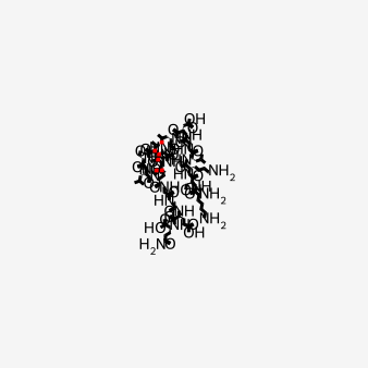 CC(C)C[C@H](NC(=O)[C@H](CCCCN)NC(=O)[C@H](CO)NC(=O)[C@@H](N)CCCCN)C(=O)NCC(=O)N[C@@H](CC(=O)O)C(=O)N[C@@H](CC(C)C)C(=O)N[C@H](C(=O)N[C@H](C(=O)N[C@H](C(=O)N[C@@H](CO)C(=O)N[C@@H](CC(C)C)C(=O)N1CCC[C@H]1C(=O)NCC(=O)NCC(=O)N[C@@H](CCC(=O)O)C(=O)N[C@@H](CCC(N)=O)C(=O)O)C(C)C)[C@@H](C)O)C(C)C